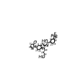 O=C(/N=c1\[nH]c2cc(N3N=CCC3=O)ccc2n1CCCO)c1cccc(C(F)(F)F)c1